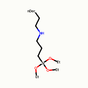 CCCCCCCCCCCCNCCC[Si](OCC)(OCC)OCC